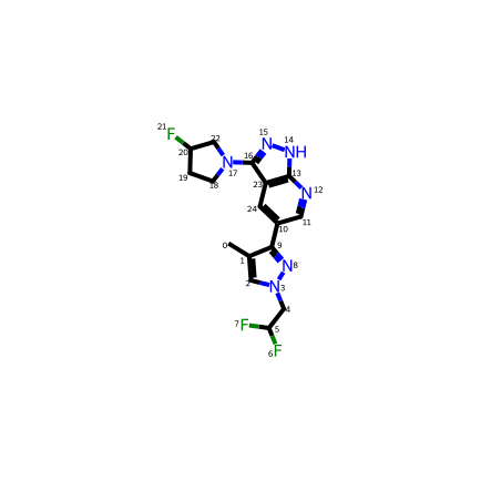 Cc1cn(CC(F)F)nc1-c1cnc2[nH]nc(N3CCC(F)C3)c2c1